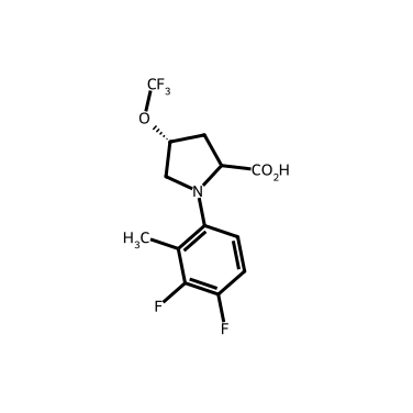 Cc1c(N2C[C@H](OC(F)(F)F)CC2C(=O)O)ccc(F)c1F